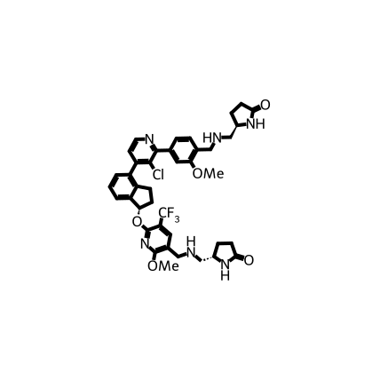 COc1cc(-c2nccc(-c3cccc4c3CC[C@@H]4Oc3nc(OC)c(CNC[C@@H]4CCC(=O)N4)cc3C(F)(F)F)c2Cl)ccc1CNC[C@H]1CCC(=O)N1